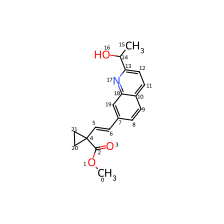 COC(=O)C1(C=Cc2ccc3ccc(C(C)O)nc3c2)CC1